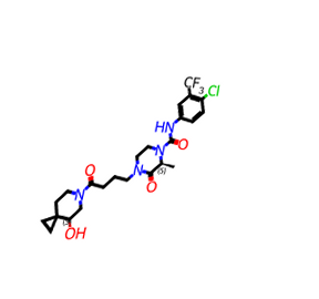 C[C@H]1C(=O)N(CCCC(=O)N2CCC3(CC3)[C@H](O)C2)CCN1C(=O)Nc1ccc(Cl)c(C(F)(F)F)c1